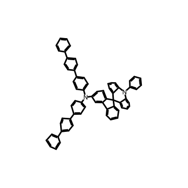 c1ccc(-c2ccc(-c3ccc(N(c4ccc(-c5ccc(-c6ccccc6)cc5)cc4)c4ccc5c(c4)-c4ccccc4C54c5ccccc5N(c5ccccc5)c5ccccc54)cc3)cc2)cc1